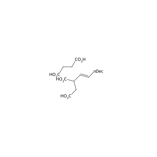 CCCCCCCCCCC=CC(CC(=O)O)C(=O)O.O=C(O)CCC(=O)O